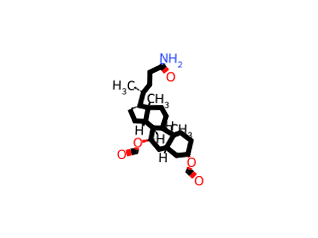 C[C@H](CCC(N)=O)[C@H]1CC[C@H]2[C@@H]3[C@H](OC=O)C[C@@H]4C[C@H](OC=O)CC[C@]4(C)[C@H]3CC[C@]12C